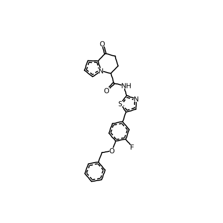 O=C1CCC(C(=O)Nc2ncc(-c3ccc(OCc4ccccc4)c(F)c3)s2)n2cccc21